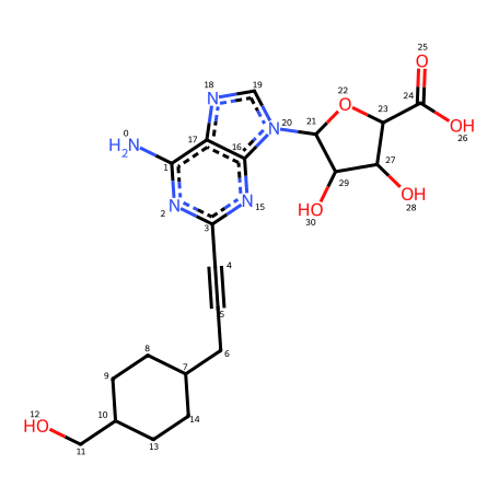 Nc1nc(C#CCC2CCC(CO)CC2)nc2c1ncn2C1OC(C(=O)O)C(O)C1O